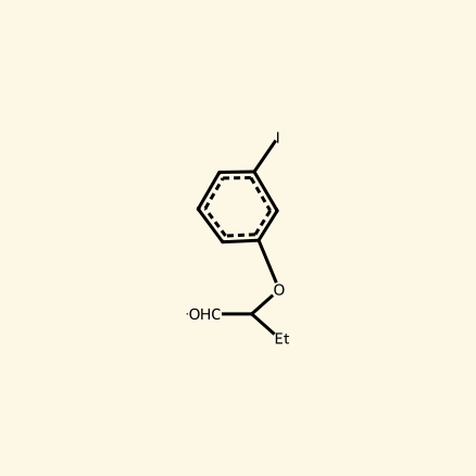 CCC([C]=O)Oc1cccc(I)c1